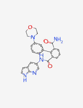 NC(=O)c1cccc(C(=O)Nc2cnc3[nH]ccc3c2)c1-c1cccc(N2CCOCC2)c1